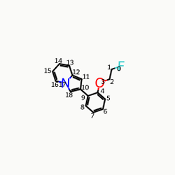 FCCOc1ccccc1-c1cc2ccccn2c1